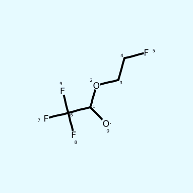 [O]C(OCCF)C(F)(F)F